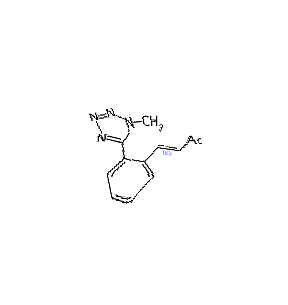 CC(=O)/C=C/c1ccccc1-c1nnnn1C